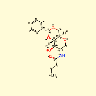 CCCC(=O)N[C@H]1CO[C@@H]2CO[C@@H](c3ccccc3)O[C@H]2[C@@H]1O